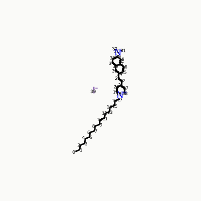 CCCCCCCCCCCCCCCCCC[n+]1ccc(/C=C/c2ccc3cc(N(C)C)ccc3c2)cc1.[I-]